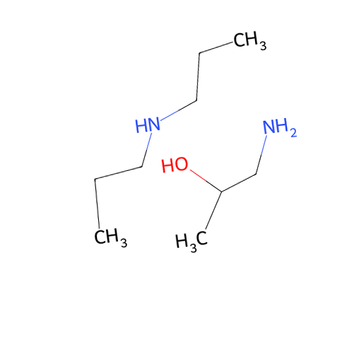 CC(O)CN.CCCNCCC